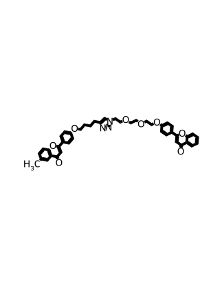 Cc1ccc2oc(-c3ccc(OCCCCc4cn(CCOCCOCCOc5ccc(-c6cc(=O)c7ccccc7o6)cc5)nn4)cc3)cc(=O)c2c1